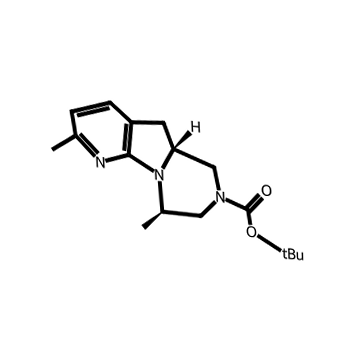 Cc1ccc2c(n1)N1[C@H](C2)CN(C(=O)OC(C)(C)C)C[C@H]1C